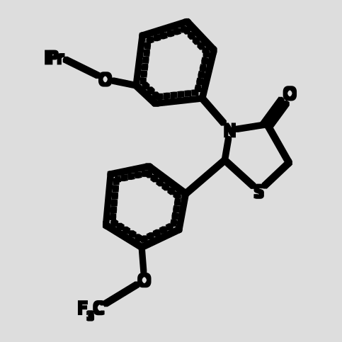 CC(C)Oc1cccc(N2C(=O)CSC2c2cccc(OC(F)(F)F)c2)c1